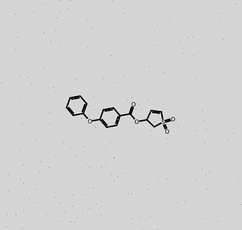 O=C(OC1C=CS(=O)(=O)C1)c1ccc(Oc2ccccc2)cc1